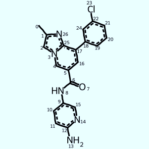 Cc1cn2cc(C(=O)Nc3ccc(N)nc3)cc(-c3cccc(Cl)c3)c2n1